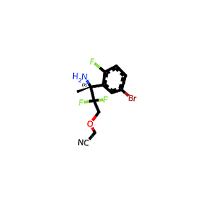 C[C@@](N)(c1cc(Br)ccc1F)C(F)(F)COCC#N